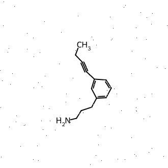 CCC#Cc1cccc(CCCN)c1